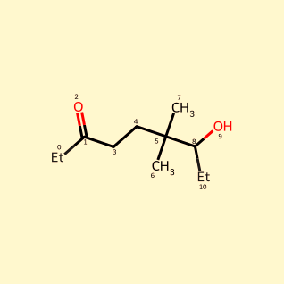 CCC(=O)CCC(C)(C)C(O)CC